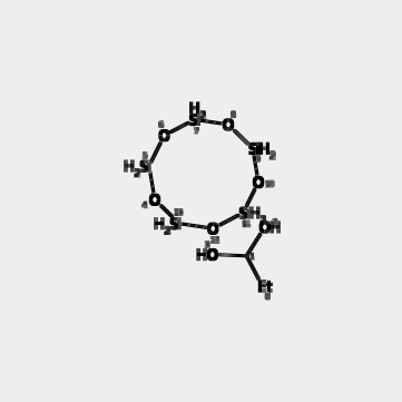 CCC(O)O.O1[SiH2]O[SiH2]O[SiH2]O[SiH2]O[SiH2]1